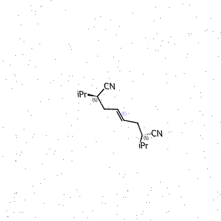 CC(C)[C@@H](C#N)C/C=C/C[C@H](C#N)C(C)C